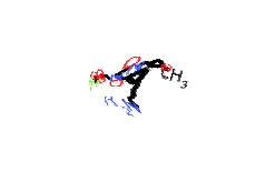 COc1ccc(CN2C(=O)CN(CCC(=O)OC(=O)C(F)(F)F)C(=O)c3cc(CCCCCN)ccc32)cc1